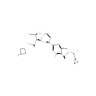 Cc1cc(-c2ccn3nc(N)c(C(=O)N[C@H]4C[C@](C)(O)C4)c3n2)cc2c1C(=O)N([C@@H](C)C1CC1)C2